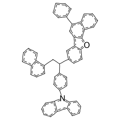 c1ccc(-c2cc3c4cc(C(Cc5cccc6ccccc56)c5ccc(-n6c7ccccc7c7ccccc76)cc5)ccc4oc3c3ccccc23)cc1